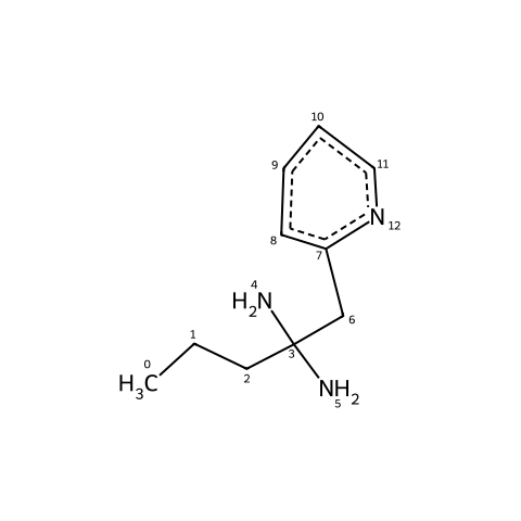 CCCC(N)(N)Cc1ccccn1